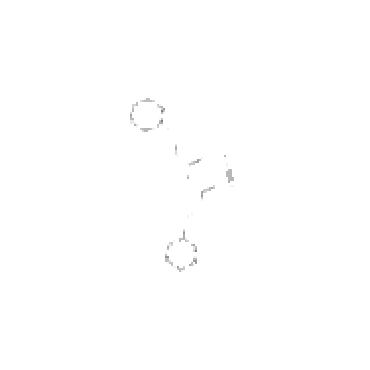 CC#N.O=C(COc1ccccc1)OC(=O)COc1ccccc1